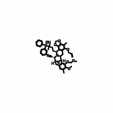 C=CCOc1c(C)c2c(c3c1CC1[C@H]4c5c(cc(C)c(OC)c5OCOC)C[C@@H]([C@H](C#N)N1[C@H]3CCC(C)(C)[Si](O)(c1ccccc1)c1ccccc1)N4C)OCO2